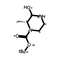 C[C@@H]1C(O)NCCN1C(=O)OC(C)(C)C